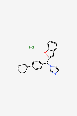 Cl.c1ccc(-c2ccc(C(c3cc4ccccc4o3)n3ccnc3)cc2)cc1